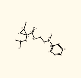 CC(C)CC1(C(=O)OCCN(C)c2ccccc2)CC1C